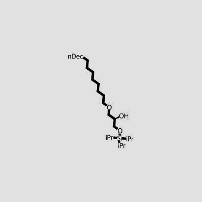 CCCCCCCCCCCCCCCCCCOC[C@@H](O)CO[Si](C(C)C)(C(C)C)C(C)C